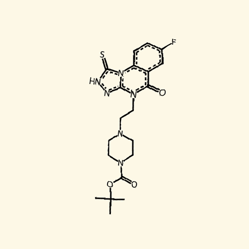 CC(C)(C)OC(=O)N1CCN(CCn2c(=O)c3cc(F)ccc3n3c(=S)[nH]nc23)CC1